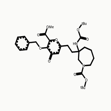 COC(=O)c1oc(CCC2(NC(=O)OC(C)(C)C)CCCCN(C(=O)OC(C)(C)C)C2)cc(=O)c1OCc1ccccc1